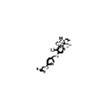 CC(C)(C)n1ncc(SCc2ccc(OCC(F)(F)F)nc2)c(Cl)c1=O